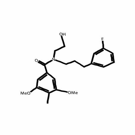 COc1cc(C(=O)N(CCO)CCCc2cccc(F)c2)cc(OC)c1C